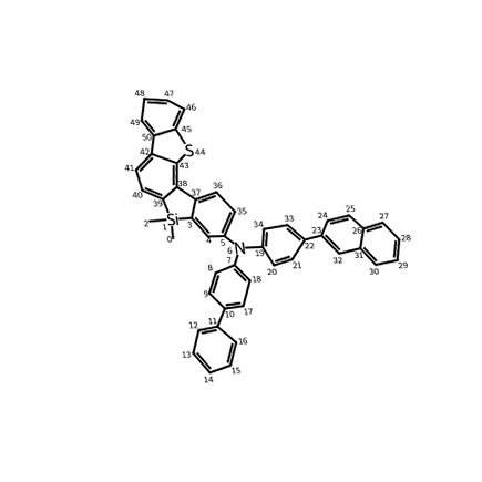 C[Si]1(C)c2cc(N(c3ccc(-c4ccccc4)cc3)c3ccc(-c4ccc5ccccc5c4)cc3)ccc2-c2c1ccc1c2sc2ccccc21